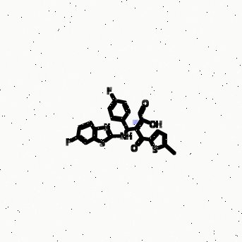 Cc1ccc(C(=O)/C(=C(\O)C=O)C(Nc2nc3ccc(F)cc3s2)c2ccc(F)cc2)s1